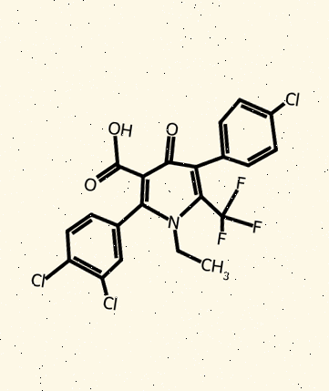 CCn1c(-c2ccc(Cl)c(Cl)c2)c(C(=O)O)c(=O)c(-c2ccc(Cl)cc2)c1C(F)(F)F